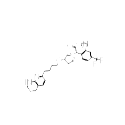 COc1cc(C(F)(F)F)ccc1[C@H](C(=O)O)N1CC[C@@H](OCCCCc2ccc3c(n2)NCCC3)C1